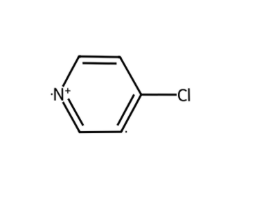 ClC1=[C]C=[N+]C=C1